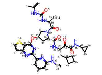 C=C(C)NC(=O)N[C@H](C(=O)N1C[C@H](Oc2nc(-c3cccc(NC(C)C)n3)nc3ccsc23)C[C@H]1C(=O)N[C@@H](CC1CCC1)C(=O)C(=O)NC1CC1)C(C)(C)C